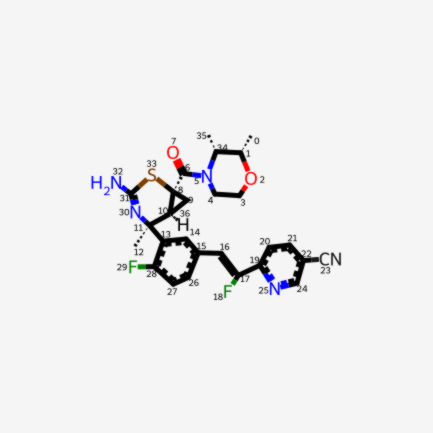 C[C@@H]1OCCN(C(=O)[C@]23C[C@H]2[C@@](C)(c2cc(/C=C(\F)c4ccc(C#N)cn4)ccc2F)N=C(N)S3)[C@@H]1C